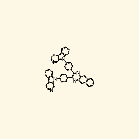 c1ccc2cc3nc(-c4ccc(-n5c6ccccc6c6ccncc65)cc4)c(-c4ccc(-n5c6ccccc6c6ccncc65)cc4)nc3cc2c1